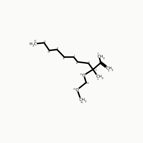 C=C(C)C(C)(CCCCCCCC)OCOC